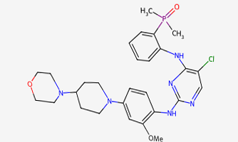 COc1cc(N2CCC(N3CCOCC3)CC2)ccc1Nc1ncc(Cl)c(Nc2ccccc2P(C)(C)=O)n1